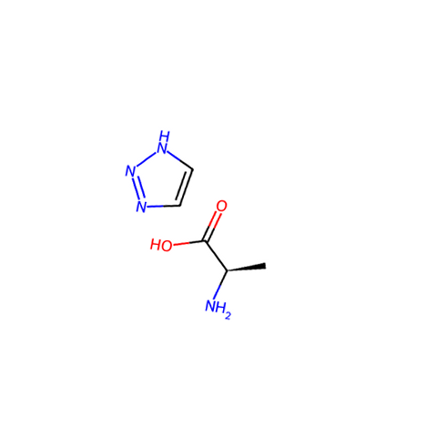 C[C@@H](N)C(=O)O.c1c[nH]nn1